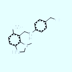 COc1ccc2c(c1CNc1ccc(CC(F)(F)F)cc1)N(C)CN2